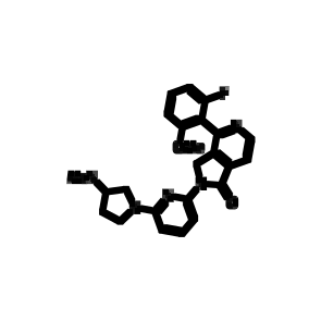 CNC1CCN(c2cccc(N3Cc4c(ccnc4-c4c(F)cccc4OC)C3=O)n2)C1